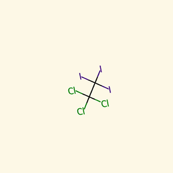 ClC(Cl)(Cl)C(I)(I)I